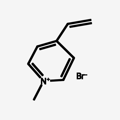 C=Cc1cc[n+](C)cc1.[Br-]